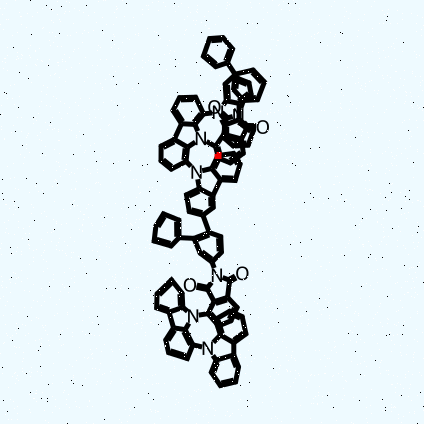 O=C1c2cccc(-n3c4ccccc4c4cccc(-n5c6ccccc6c6ccccc65)c43)c2C(=O)N1c1ccc(-c2ccc3c(c2)c2ccccc2n3-c2cccc3c4cccc(-n5c6ccccc6c6ccccc65)c4n(-c4cccc5c4C(=O)N(c4cccc(-c6ccccc6)c4)C5=O)c23)c(-c2ccccc2)c1